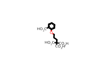 O=C(O)c1ccccc1OCCCC(C(=O)O)(C(=O)O)C(=O)O